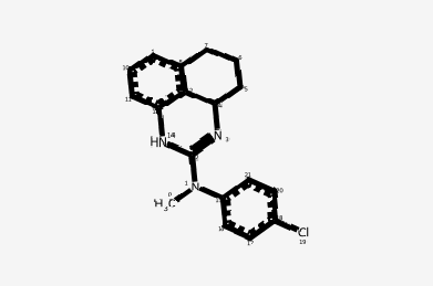 CN(C1=NC2CCCc3cccc(c32)N1)c1ccc(Cl)cc1